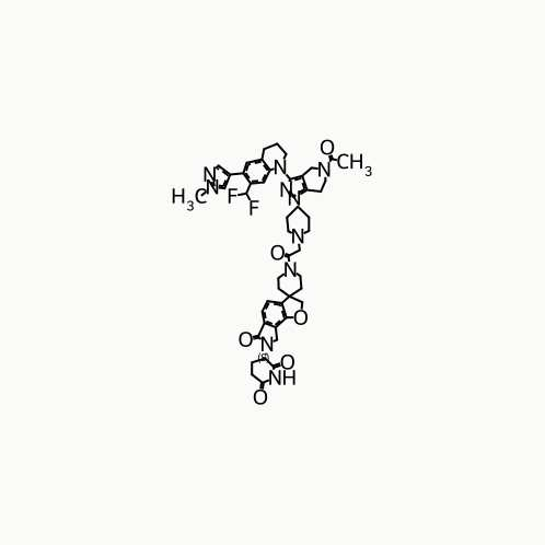 CC(=O)N1CCc2c(c(N3CCCc4cc(-c5cnn(C)c5)c(C(F)F)cc43)nn2C2CCN(CC(=O)N3CCC4(CC3)COc3c4ccc4c3CN([C@H]3CCC(=O)NC3=O)C4=O)CC2)C1